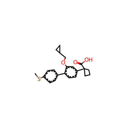 CSc1ccc(-c2ccc(C3(C(=O)O)CCC3)cc2OCC2CC2)cc1